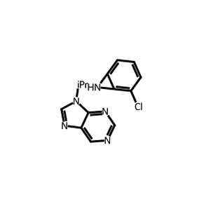 CC(C)n1cnc2cncnc21.Clc1cccc2c1N2